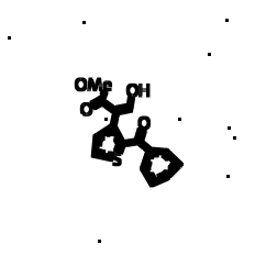 COC(=O)/C(=C\O)c1ccsc1C(=O)c1ccccc1